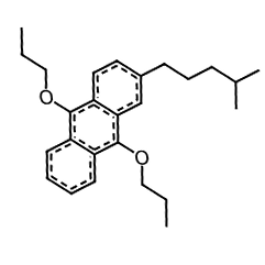 CCCOc1c2ccccc2c(OCCC)c2cc(CCCC(C)C)ccc12